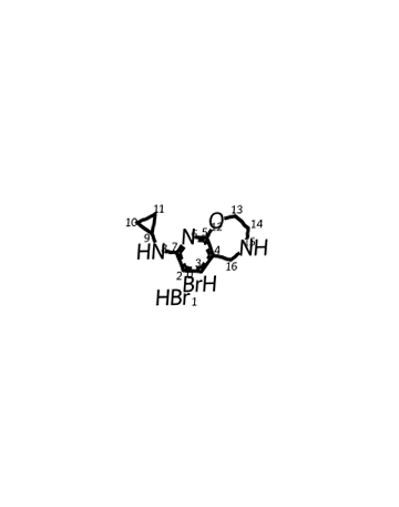 Br.Br.c1cc2c(nc1NC1CC1)OCCNC2